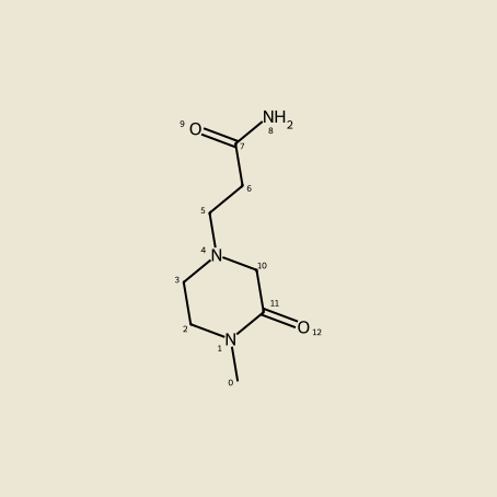 CN1CCN(CCC(N)=O)CC1=O